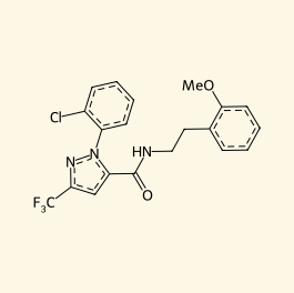 COc1ccccc1CCNC(=O)c1cc(C(F)(F)F)nn1-c1ccccc1Cl